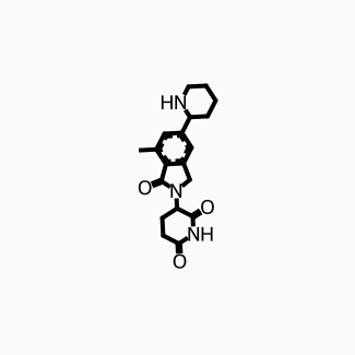 Cc1cc(C2CCCCN2)cc2c1C(=O)N(C1CCC(=O)NC1=O)C2